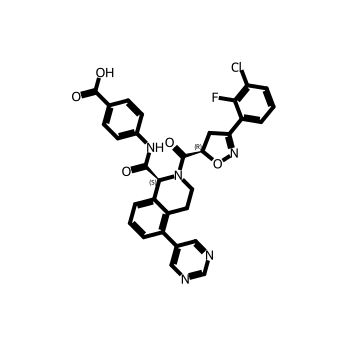 O=C(O)c1ccc(NC(=O)[C@@H]2c3cccc(-c4cncnc4)c3CCN2C(=O)[C@H]2CC(c3cccc(Cl)c3F)=NO2)cc1